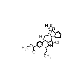 CCCCc1nc(Cl)c(C(OC)c2ccccc2C(=O)OC)n1Cc1ccc(C(=O)OC)cc1